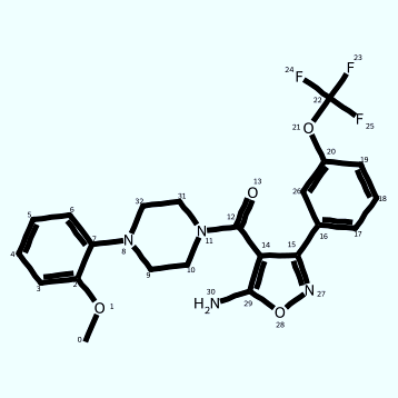 COc1ccccc1N1CCN(C(=O)c2c(-c3cccc(OC(F)(F)F)c3)noc2N)CC1